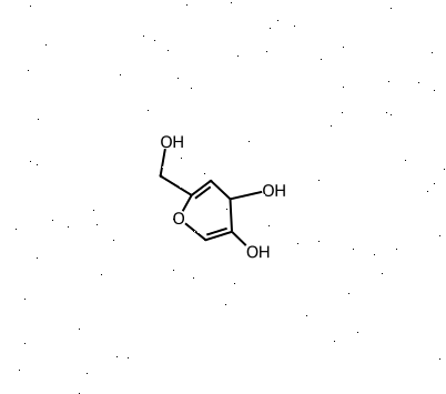 OCC1=CC(O)C(O)=CO1